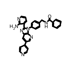 Nc1ncccc1-c1nc2cc(-c3ccncc3)cnc2n1-c1ccc(CNC(=O)c2ccccc2)cc1